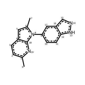 Cc1ccc2cc(C)n(-c3ccc4[nH]ncc4c3)c2n1